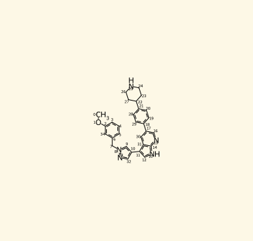 COc1cccc(Cn2cc(-c3c[nH]c4ncc(-c5ccc(C6CCNCC6)cc5)cc34)cn2)c1